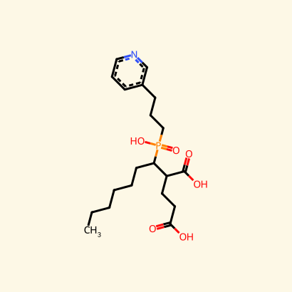 CCCCCCC(C(CCC(=O)O)C(=O)O)P(=O)(O)CCCc1cccnc1